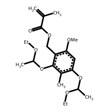 C=C(C)C(=O)OCc1c(OC)cc(OC(C)OCC)c(C)c1OC(C)OCC